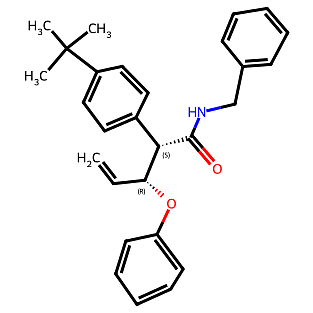 C=C[C@@H](Oc1ccccc1)[C@@H](C(=O)NCc1ccccc1)c1ccc(C(C)(C)C)cc1